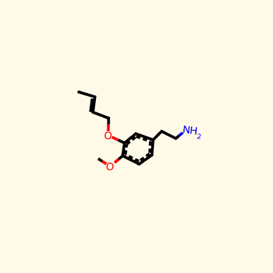 C/C=C/COc1cc(CCN)ccc1OC